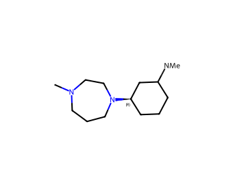 CNC1CCC[C@@H](N2CCCN(C)CC2)C1